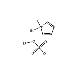 CCOS(=O)(=O)[O-].CC[N+]1(C)C=CN=C1